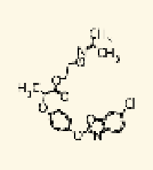 CC(C)=NOCCOC(=O)C(C)Oc1ccc(Oc2nc3ccc(Cl)cc3o2)cc1